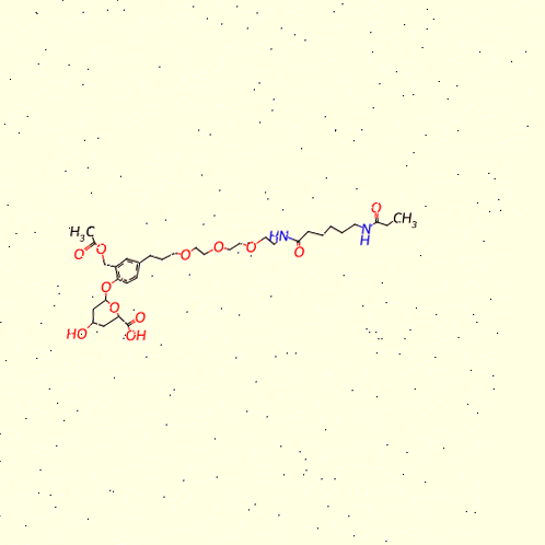 CCC(=O)NCCCCCC(=O)NCCOCCOCCOCCCc1ccc(OC2CC(O)CC(C(=O)O)O2)c(COC(C)=O)c1